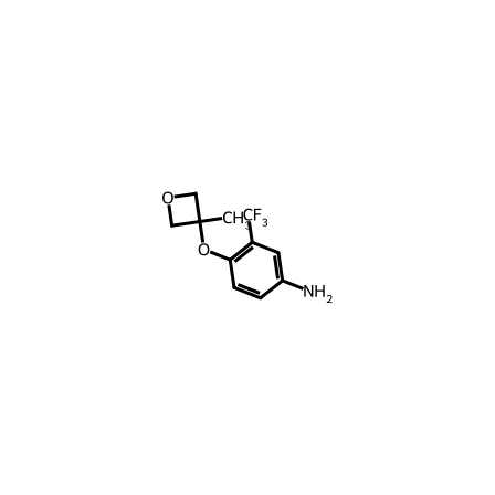 CC1(Oc2ccc(N)cc2C(F)(F)F)COC1